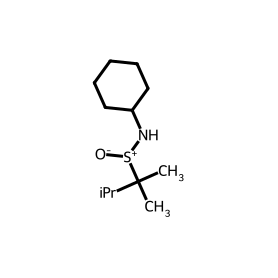 CC(C)C(C)(C)[S+]([O-])NC1CCCCC1